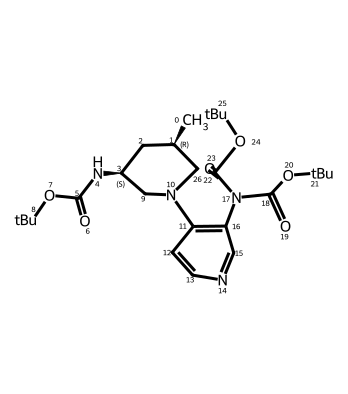 C[C@@H]1C[C@H](NC(=O)OC(C)(C)C)CN(c2ccncc2N(C(=O)OC(C)(C)C)C(=O)OC(C)(C)C)C1